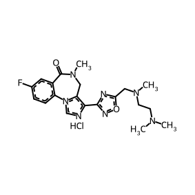 CN(C)CCN(C)Cc1nc(-c2ncn3c2CN(C)C(=O)c2cc(F)ccc2-3)no1.Cl